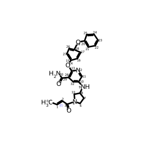 C/C=C/C(=O)N1CCC(Nc2cnc(Oc3ccc(Oc4ccccc4)cc3)c(C(N)=O)c2)C1